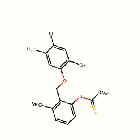 CCc1cc(C)c(OCc2c(OC)cccc2OC(=S)OC)cc1C